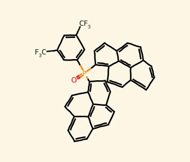 O=P(c1cc(C(F)(F)F)cc(C(F)(F)F)c1)(c1ccc2ccc3cccc4ccc1c2c34)c1ccc2ccc3cccc4ccc1c2c34